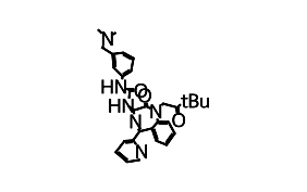 CN(C)Cc1cccc(NC(=O)NC2N=C(c3ccccn3)c3ccccc3N(CC(=O)C(C)(C)C)C2=O)c1